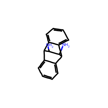 NC1C2c3ccccc3C(c3ccccc32)C1N